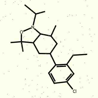 CCc1cc(Cl)ccc1C1CC(C)C2C(C1)C(C)(C)ON2C(C)C